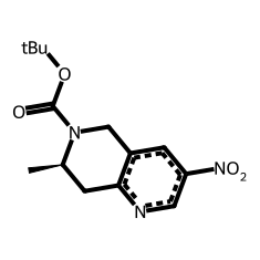 C[C@@H]1Cc2ncc([N+](=O)[O-])cc2CN1C(=O)OC(C)(C)C